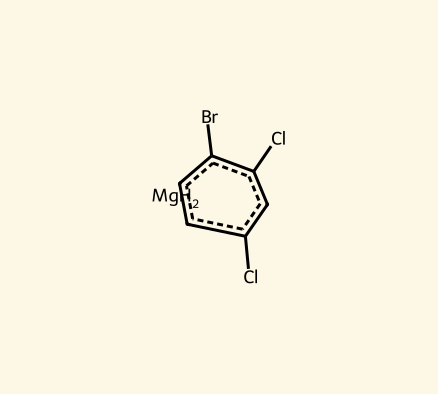 Clc1ccc(Br)c(Cl)c1.[MgH2]